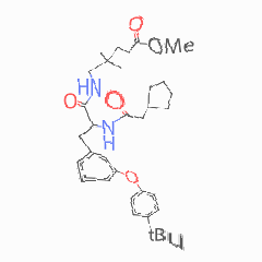 COC(=O)CCC(C)(C)CNC(=O)C(Cc1cccc(Oc2ccc(C(C)(C)C)cc2)c1)NC(=O)CC1CCCC1